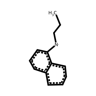 CCC[N]c1cccc2ccccc12